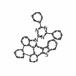 c1ccc(-c2nc(-c3ccccc3)nc(-n3c4cccc5c4c4c6c(cccc6c6sc7ccccc7c6c43)-c3ccccc3-5)n2)cc1